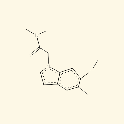 COc1cc2c(ccn2CC(=O)N(C)C)cc1C